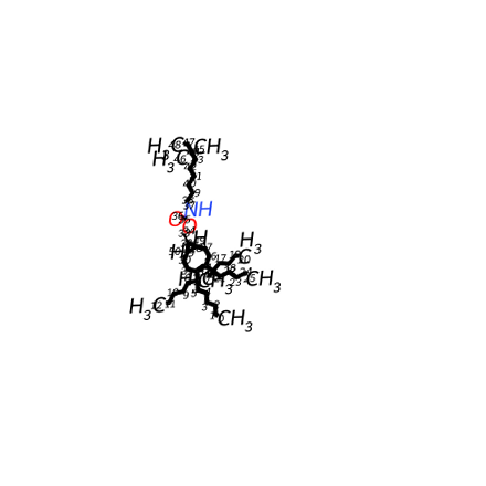 CCCCCCC(C)(CCCCC)/C1=C(\C(C)(CCCC)CCCCC)CC[C@H]2[C@@H](CC1)[C@H]2COC(=O)NCCCCCCC(C)(C)CC